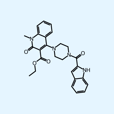 CCOC(=O)c1c(N2CCN(C(=O)c3cc4ccccc4[nH]3)CC2)c2ccccc2n(C)c1=O